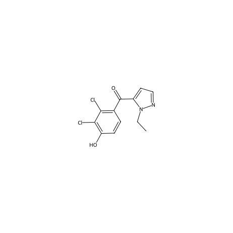 CCn1nccc1C(=O)c1ccc(O)c(Cl)c1Cl